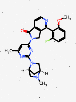 COc1cccc(F)c1-c1nccc2c1CN(c1cc(C)nc(N3C[C@@H]4C[C@H]3CN4C)n1)C2=O